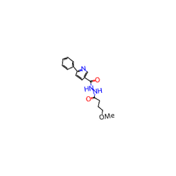 COCCCC(=O)NNC(=O)c1ccc(-c2ccccc2)nc1